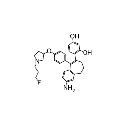 Nc1ccc2c(c1)CCCC(c1ccc(O)cc1O)=C2c1ccc(OC2CCN(CCCF)C2)cc1